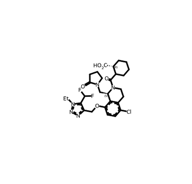 CCn1nnc(COc2ccc(Cl)c3c2[C@@H](CN2CCCC2=O)N(C(=O)C2CCCC[C@H]2C(=O)O)CC3)c1C(F)F